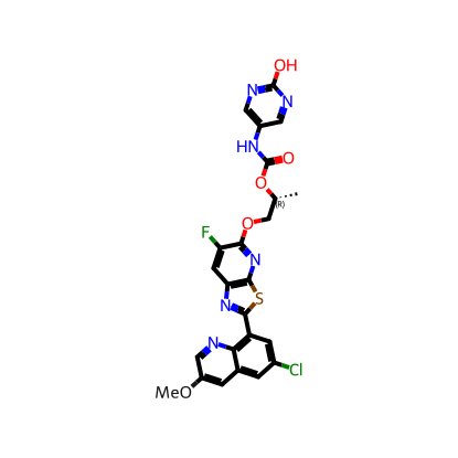 COc1cnc2c(-c3nc4cc(F)c(OC[C@@H](C)OC(=O)Nc5cnc(O)nc5)nc4s3)cc(Cl)cc2c1